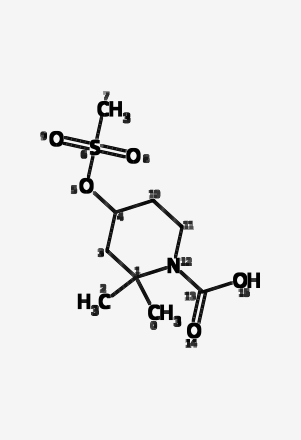 CC1(C)CC(OS(C)(=O)=O)CCN1C(=O)O